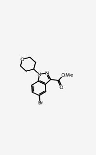 COC(=O)c1nn(C2CCOCC2)c2ccc(Br)cc12